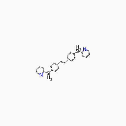 C(=Cc1ccc([SiH2]c2ccccn2)cc1)c1ccc([SiH2]c2ccccn2)cc1